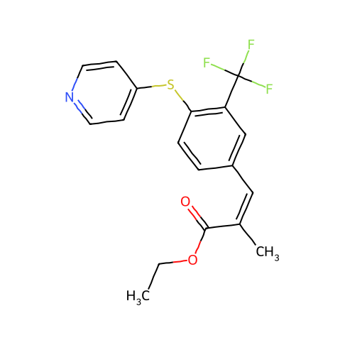 CCOC(=O)C(C)=Cc1ccc(Sc2ccncc2)c(C(F)(F)F)c1